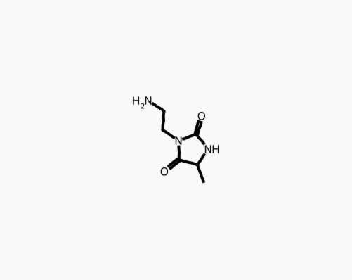 CC1NC(=O)N(CCN)C1=O